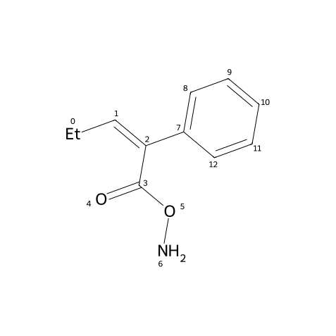 CCC=C(C(=O)ON)c1ccccc1